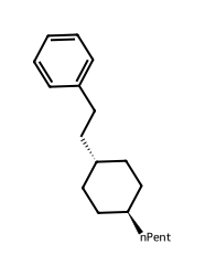 CCCCC[C@H]1CC[C@H](CCc2ccccc2)CC1